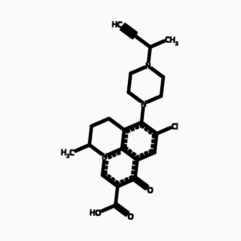 C#CC(C)N1CCN(c2c(Cl)cc3c(=O)c(C(=O)O)cn4c3c2CCC4C)CC1